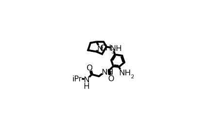 CC(C)NC(=O)CNC(=O)c1cc(NC2CC3CCC(C2)N3C)ccc1N